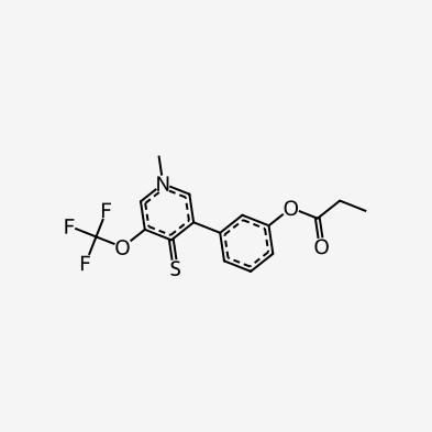 CCC(=O)Oc1cccc(-c2cn(C)cc(OC(F)(F)F)c2=S)c1